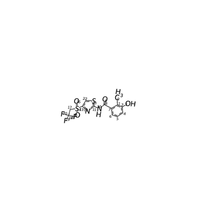 Cc1c(O)cccc1C(=O)Nc1nc(S(=O)(=O)CC(F)(F)F)cs1